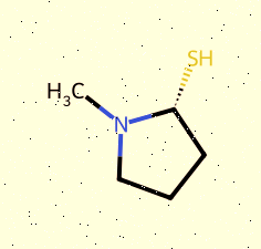 CN1CCC[C@H]1S